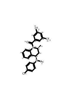 CC(=O)N(c1ccc(Cl)cc1)[C@@H]1C[C@H](C)N(C(=O)c2cc(C(F)(F)F)cc(C(F)(F)F)c2)c2ccccc21